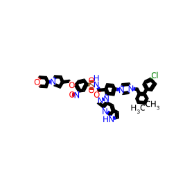 CC1(C)CCC(CN2CCN(c3ccc(C(=O)NS(=O)(=O)c4ccc(OCC5CCN(C6CCOCC6)CC5)c(N=O)c4)c(-n4ncc5nc6[nH]ccc6cc54)c3)CC2)=C(c2ccc(Cl)cc2)C1